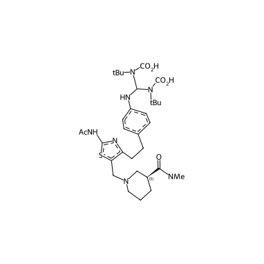 CNC(=O)[C@H]1CCCN(Cc2sc(NC(C)=O)nc2CCc2ccc(NC(N(C(=O)O)C(C)(C)C)N(C(=O)O)C(C)(C)C)cc2)C1